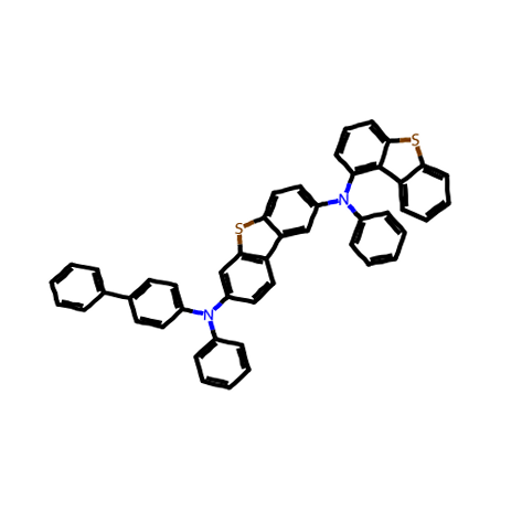 c1ccc(-c2ccc(N(c3ccccc3)c3ccc4c(c3)sc3ccc(N(c5ccccc5)c5cccc6sc7ccccc7c56)cc34)cc2)cc1